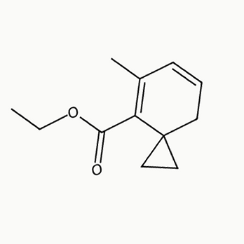 CCOC(=O)C1=C(C)C=CCC12CC2